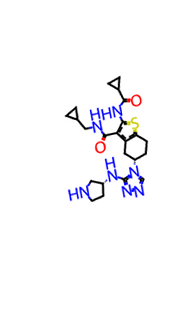 O=C(NCC1CC1)c1c(NC(=O)C2CC2)sc2c1C[C@@H](n1cnnc1N[C@@H]1CCNC1)CC2